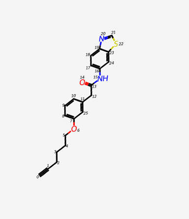 C#CCCCCOc1cccc(CC(=O)Nc2ccc3ncsc3c2)c1